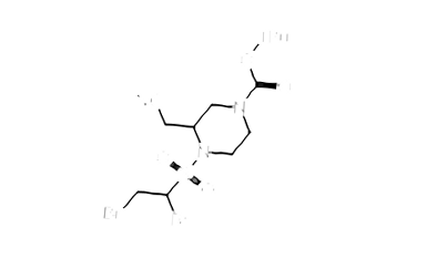 CC(C)(C)OC(=O)N1CCN(S(=O)(=O)C(Br)CBr)C(CC#N)C1